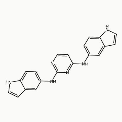 c1cc(Nc2ccc3[nH]ccc3c2)nc(Nc2ccc3[nH]ccc3c2)n1